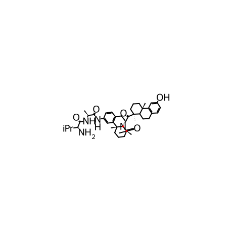 CC(C)C(N)C(=O)N[C@@H](C)C(=O)Nc1ccc2c(c1)[C@@]1(C)CCC[C@]3(C)C(=O)N(C(=O)[C@@]4(C)CCC[C@]5(C)c6cc(O)ccc6CCC45)[C@]31CC2